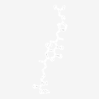 COC(=O)N/C=C/CCC(C)c1cc(O)c(C(=O)C(C)C(C)Cc2ccc(OCC(F)F)s2)c(=O)o1